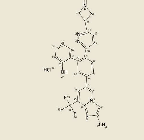 Cc1cn2cc(-c3ccc(-c4ccc(C5CNC5)nn4)c(-c4ccccc4O)c3)cc(C(F)(F)F)c2n1.Cl